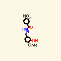 COc1ccc(C=NNC(=O)c2ccc([N+](=O)[O-])cc2)cc1O